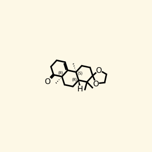 CC1(C)[C@@H]2CC[C@@]3(C)C(=O)CCC=C3[C@@]2(C)CCC12OCCO2